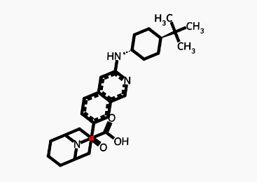 CC(C)(C)[C@H]1CC[C@H](Nc2cc3ccc(C(=O)N4C5CCCC4CC(C(=O)O)C5)cc3cn2)CC1